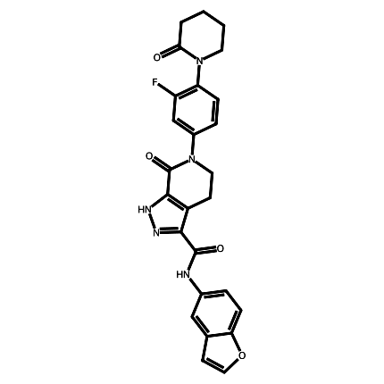 O=C(Nc1ccc2occc2c1)c1n[nH]c2c1CCN(c1ccc(N3CCCCC3=O)c(F)c1)C2=O